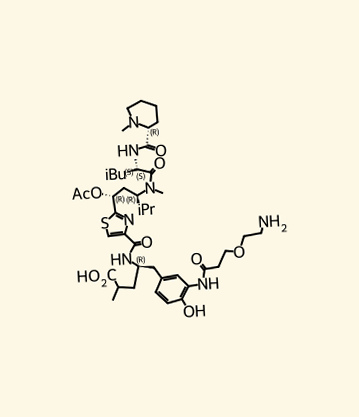 CC[C@H](C)[C@H](NC(=O)[C@H]1CCCCN1C)C(=O)N(C)[C@H](C[C@@H](OC(C)=O)c1nc(C(=O)N[C@@H](Cc2ccc(O)c(NC(=O)CCOCCN)c2)CC(C)C(=O)O)cs1)C(C)C